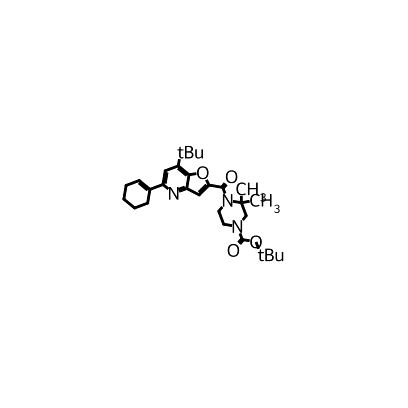 CC(C)(C)OC(=O)N1CCN(C(=O)c2cc3nc(C4=CCCCC4)cc(C(C)(C)C)c3o2)C(C)(C)C1